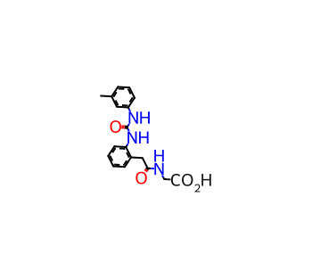 Cc1cccc(NC(=O)Nc2ccccc2CC(=O)NCC(=O)O)c1